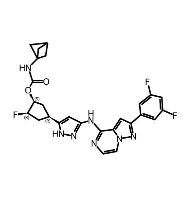 O=C(NC12CC(C1)C2)O[C@H]1C[C@@H](c2cc(Nc3nccn4nc(-c5cc(F)cc(F)c5)cc34)n[nH]2)C[C@H]1F